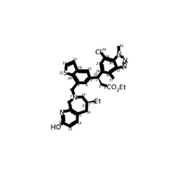 CCOC(=O)C[C@@H](c1cc(CN2Cc3nc(O)ccc3C[C@H](CC)C2)c2sccc2c1)c1cc(Cl)c2c(nnn2C)c1C